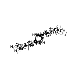 CN(CCOC(=O)Nc1ncnc2c1ncn2[C@@H]1CC2CO[P@@](=O)(S)O[C@H]3[C@@H](F)[C@H](n4cnc5c(NC(=O)OCCN(C)C(=O)OC(C)(C)C)ncnc54)O[C@@H]3CO[P@@](=O)(S)O[C@H]2[C@H]1F)C(=O)OC(C)(C)C